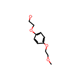 COCCOc1ccc(OCC[O])cc1